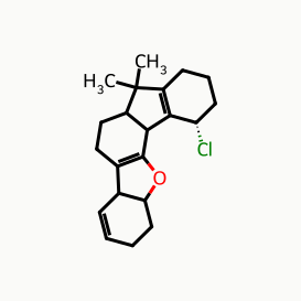 CC1(C)C2=C(C3C4=C(CCC31)C1C=CCCC1O4)[C@@H](Cl)CCC2